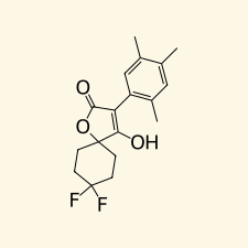 Cc1cc(C)c(C2=C(O)C3(CCC(F)(F)CC3)OC2=O)cc1C